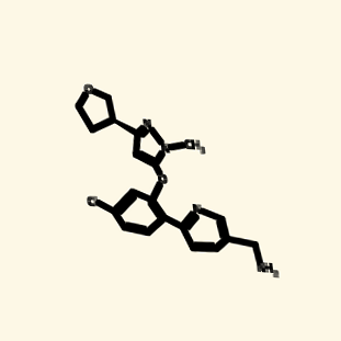 Cn1nc([C@H]2CCOC2)cc1Oc1cc(Cl)ccc1-c1ccc(CN)cn1